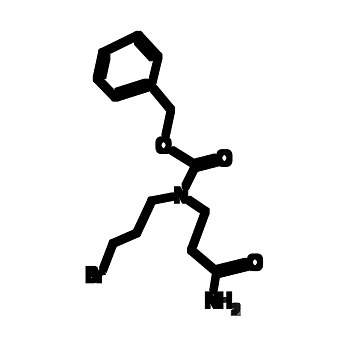 NC(=O)CCN(CCCBr)C(=O)OCc1ccccc1